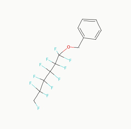 FCC(F)(F)C(F)(F)C(F)(F)C(F)(F)C(F)(F)O[CH]c1ccccc1